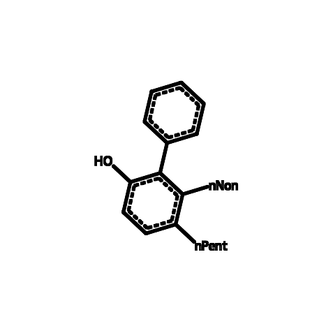 CCCCCCCCCc1c(CCCCC)ccc(O)c1-c1ccccc1